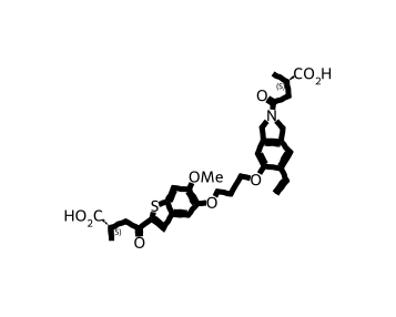 C=Cc1cc2c(cc1OCCCOc1cc3cc(C(=O)C[C@H](C)C(=O)O)sc3cc1OC)CN(C(=O)C[C@H](C)C(=O)O)C2